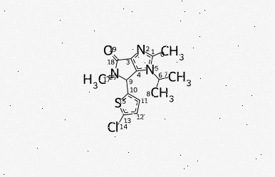 Cc1nc2c(n1C(C)C)C(c1ccc(Cl)s1)N(C)C2=O